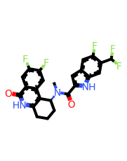 CN(C(=O)c1cc2cc(F)c(C(F)F)cc2[nH]1)[C@H]1CCCc2[nH]c(=O)c3cc(F)c(F)cc3c21